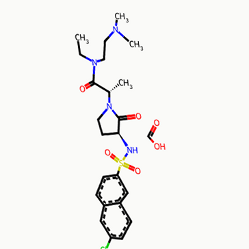 CCN(CCN(C)C)C(=O)[C@H](C)N1CC[C@H](NS(=O)(=O)c2ccc3cc(Cl)ccc3c2)C1=O.O=CO